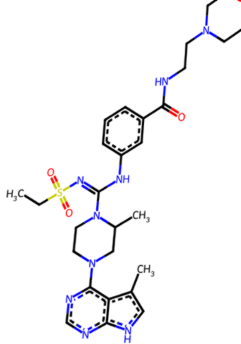 CCS(=O)(=O)N=C(Nc1cccc(C(=O)NCCN2CCOCC2)c1)N1CCN(c2ncnc3[nH]cc(C)c23)CC1C